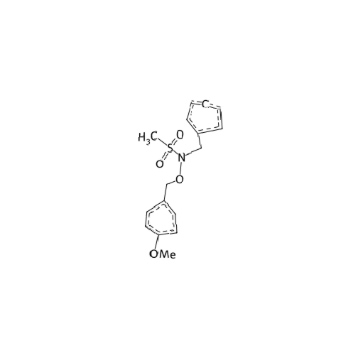 COc1ccc(CON(Cc2ccccc2)S(C)(=O)=O)cc1